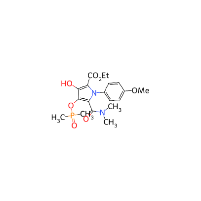 CCOC(=O)c1c(O)c(OP(C)(C)=O)c(C(=O)N(C)C)n1-c1ccc(OC)cc1